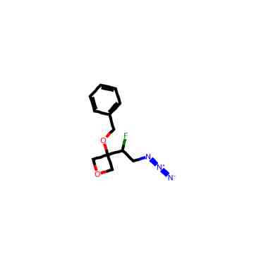 [N-]=[N+]=NCC(F)C1(OCc2ccccc2)COC1